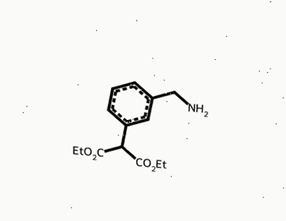 CCOC(=O)C(C(=O)OCC)c1cccc(CN)c1